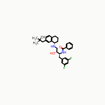 CC(C)(C)Cc1ccc2c(c1)[C@@H](NC[C@@H](O)[C@H](Cc1cc(F)cc(F)c1)NC(=O)c1ccccc1)CCC2